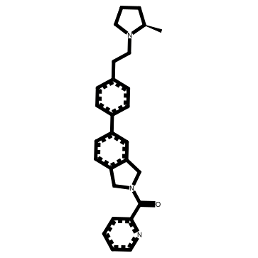 C[C@@H]1CCCN1CCc1ccc(-c2ccc3c(c2)CN(C(=O)c2ccccn2)C3)cc1